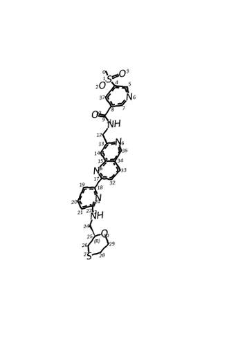 CS(=O)(=O)c1cncc(C(=O)NCc2cc3nc(-c4cccc(NC[C@@H]5CSCCO5)n4)ccc3cn2)c1